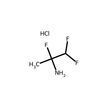 CC(N)(F)C(F)F.Cl